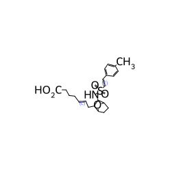 Cc1ccc(/C=C/S(=O)(=O)NC2C3CCC(O3)C2C/C=C/CCCC(=O)O)cc1